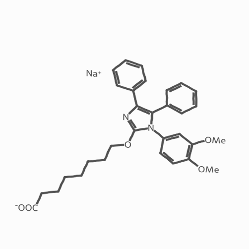 COc1ccc(-n2c(OCCCCCCCC(=O)[O-])nc(-c3ccccc3)c2-c2ccccc2)cc1OC.[Na+]